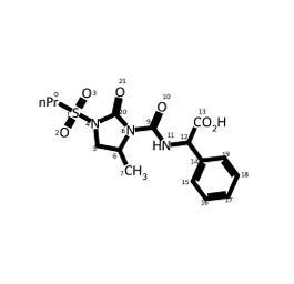 CCCS(=O)(=O)N1CC(C)N(C(=O)NC(C(=O)O)c2ccccc2)C1=O